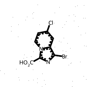 O=C(O)c1nc(Br)c2cc(Cl)ccn12